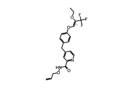 C=CCONC(=O)c1cc(Cc2ccc(O/C=C(\OCC)C(F)(F)F)cc2)ccn1